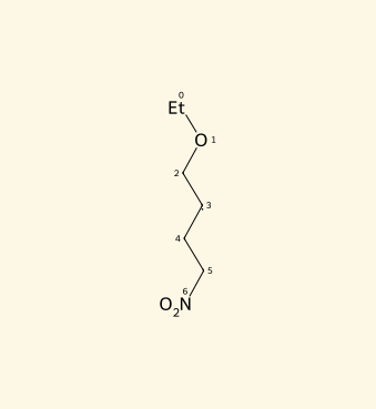 CCOC[CH]CC[N+](=O)[O-]